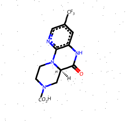 O=C1Nc2cc(C(F)(F)F)cnc2N2CCN(C(=O)O)C[C@H]12